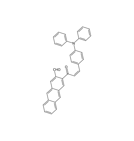 O=Cc1cc2cc3ccccc3cc2cc1C(=O)/C=C\c1ccc(N(c2ccccc2)c2ccccc2)cc1